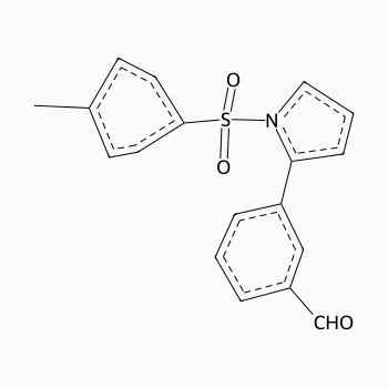 Cc1ccc(S(=O)(=O)n2cccc2-c2cccc(C=O)c2)cc1